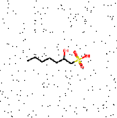 CCCCCC(O)CS(=O)(=O)O